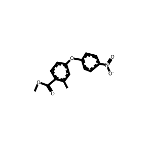 COC(=O)c1ccc(Oc2ccc([N+](=O)[O-])cc2)cc1C